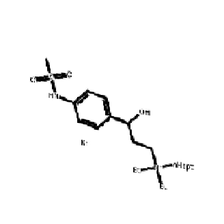 CCCCCCC[N+](CC)(CC)CCC(O)c1ccc(NS(C)(=O)=O)cc1.[Br-]